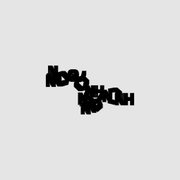 Cc1cc(Nc2ncnn3ccc(CN4CCCNCC4)c23)ccc1Oc1ccn2ncnc2c1